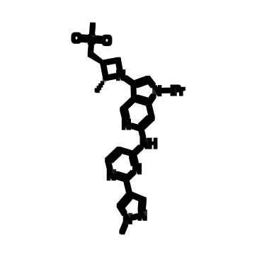 CC(C)n1cc(N2C[C@H](CS(C)(=O)=O)[C@H]2C)c2cnc(Nc3ccnc(-c4cnn(C)c4)n3)cc21